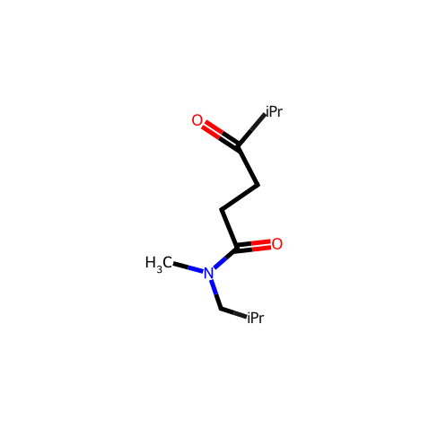 CC(C)CN(C)C(=O)CCC(=O)C(C)C